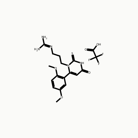 COc1ccc(OC)c(-c2cc(=O)[nH]c(=S)n2CCCN=C(N)N)c1.O=C(O)C(F)(F)F